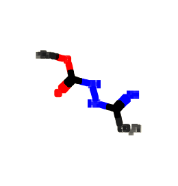 CCCCOC(=O)NNC(=N)C(=O)OCC